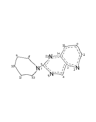 c1cnc2cnc(N3CCCCC3)nc2c1